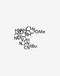 COc1ccc2c([C@H](Nc3cc(C#N)c4ncc(C#N)c(NCC(C)(C)C)c4c3)C3=CN(C4(C(F)(F)F)CC4)NN3)cccc2n1